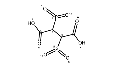 O=C(O)C(C(C(=O)O)P(=O)=O)P(=O)=O